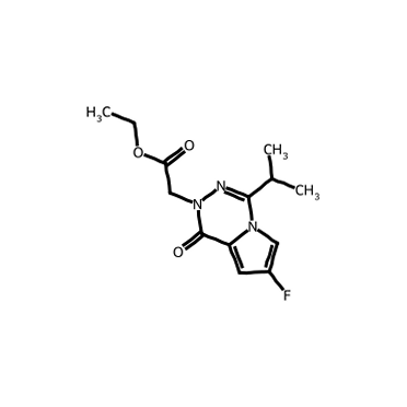 CCOC(=O)Cn1nc(C(C)C)n2cc(F)cc2c1=O